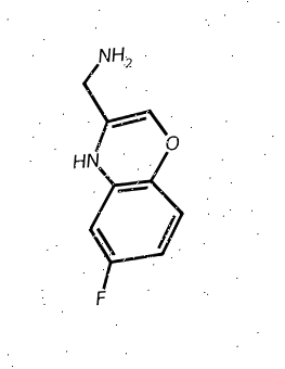 NCC1=COc2ccc(F)cc2N1